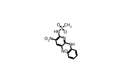 CS(=O)(=O)Nc1nc(Nc2ccccc2)c([N+](=O)[O-])cc1[N+](=O)[O-]